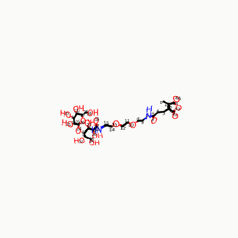 CC1=C(CCC(=O)NCCOCCOCCNC(=O)C(O)C(O)[C@@H](OC2O[C@H](CO)[C@H](O)[C@H](O)[C@H]2O)C(O)CO)C(=O)OC1=O